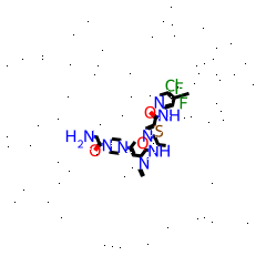 C=C/N=C(\C=C(/C)N1CCN(C(=O)CN)CC1)C(=O)NC(C)c1ncc(C(=O)Nc2cc(C(C)(F)F)c(Cl)cn2)s1